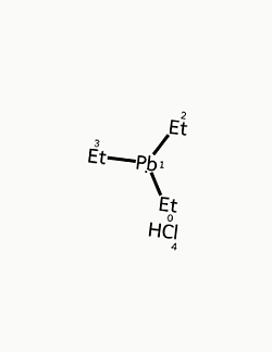 C[CH2][Pb]([CH2]C)[CH2]C.Cl